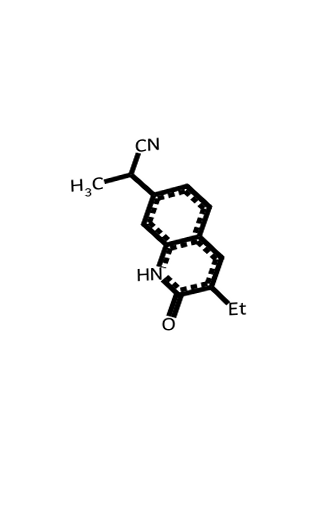 CCc1cc2ccc(C(C)C#N)cc2[nH]c1=O